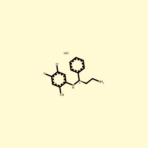 Cl.N#Cc1cc(F)c(Cl)cc1N[C@H](CCN)c1ccccc1